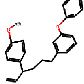 C=CC(CCCc1cccc(Oc2ccccc2)c1)c1ccc(OCCCC)cc1